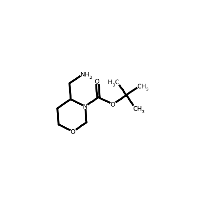 CC(C)(C)OC(=O)N1COCCC1CN